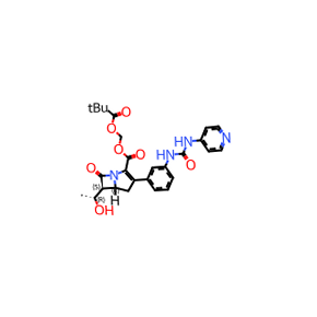 C[C@@H](O)[C@H]1C(=O)N2C(C(=O)OCOC(=O)C(C)(C)C)=C(c3cccc(NC(=O)Nc4ccncc4)c3)C[C@H]12